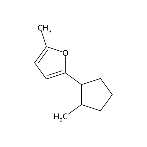 Cc1ccc(C2CCCC2C)o1